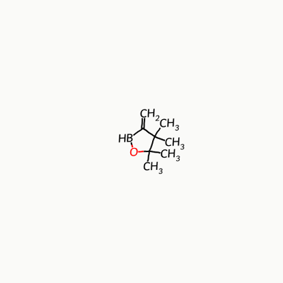 C=C1BOC(C)(C)C1(C)C